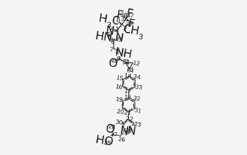 CC(C)(c1n[nH]c(CNC(=O)[C@H]2C[C@@H]2c2ccc(-c3ccc(-c4cnn(CC(=O)O)c4)cc3)cc2)n1)C(F)(F)F